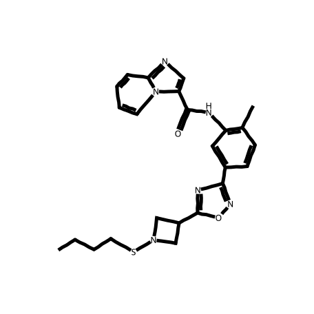 CCCCSN1CC(c2nc(-c3ccc(C)c(NC(=O)c4cnc5ccccn45)c3)no2)C1